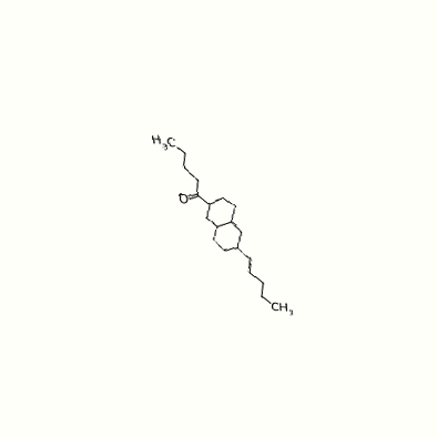 CCCCCC1CCC2CC(C(=O)CCCC)CCC2C1